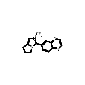 FC(F)(F)N1C=C2CCCN2C1c1ccc2nccnc2c1